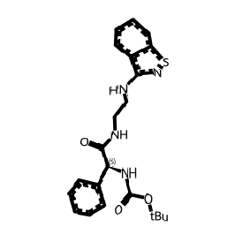 CC(C)(C)OC(=O)N[C@H](C(=O)NCCNc1nsc2ccccc12)c1ccccc1